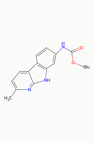 Cc1ccc2c(n1)[nH]c1cc(NC(=O)OC(C)(C)C)ccc12